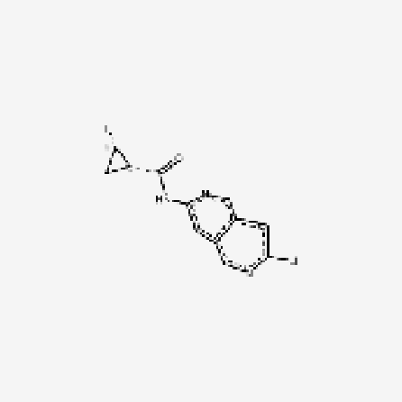 O=C(Nc1cc2cnc(Cl)cc2cn1)[C@@H]1C[C@@H]1F